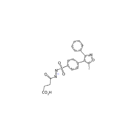 Cc1onc(-c2ccccc2)c1-c1ccc(S(=O)(=O)/N=N/C(=O)CCC(=O)O)cc1